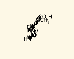 CC1CC(N2CC(n3cc(NC(=O)c4cccc(-c5cn[nH]c5)n4)c(C(F)F)n3)C2)CCN1C(=O)O